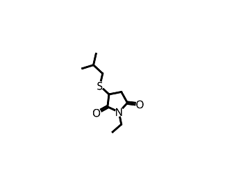 CCN1C(=O)CC(SCC(C)C)C1=O